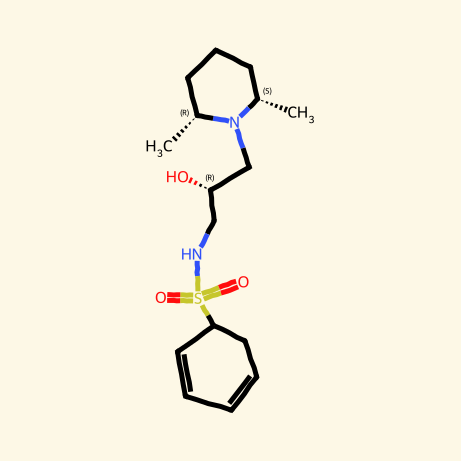 C[C@@H]1CCC[C@H](C)N1C[C@@H](O)CNS(=O)(=O)C1C=CC=CC1